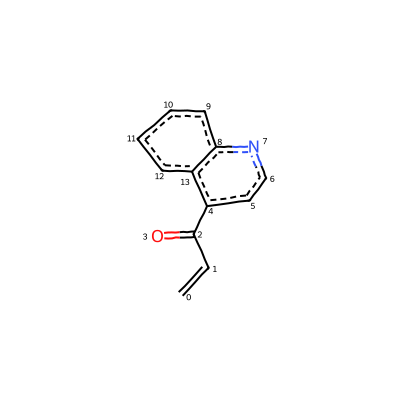 C=CC(=O)c1ccnc2ccccc12